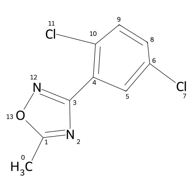 Cc1nc(-c2cc(Cl)ccc2Cl)no1